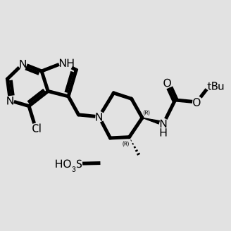 CS(=O)(=O)O.C[C@@H]1CN(Cc2c[nH]c3ncnc(Cl)c23)CC[C@H]1NC(=O)OC(C)(C)C